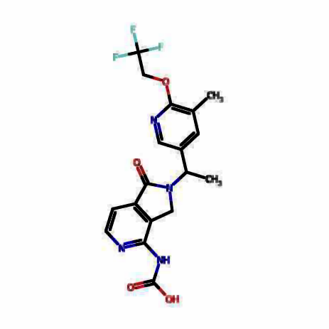 Cc1cc(C(C)N2Cc3c(ccnc3NC(=O)O)C2=O)cnc1OCC(F)(F)F